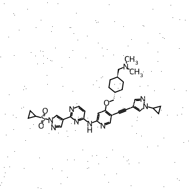 CN(C)C[C@H]1CC[C@H](COc2cc(Nc3ccnc(-c4cnn(S(=O)(=O)C5CC5)c4)n3)ncc2C#Cc2cnn(C3CC3)c2)CC1